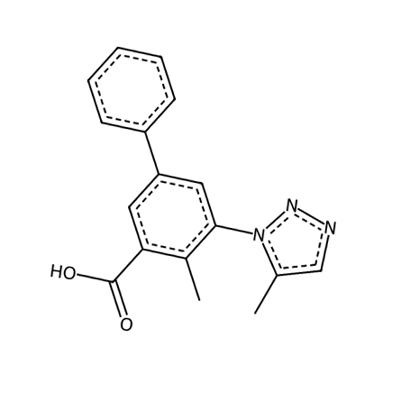 Cc1c(C(=O)O)cc(-c2ccccc2)cc1-n1nncc1C